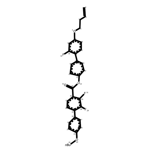 C=CCCOc1ccc(-c2ccc(OC(=O)c3ccc(-c4ccc(OCCCC)cc4)c(F)c3F)cc2)c(F)c1